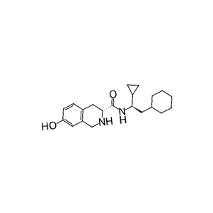 O=C(N[C@H](CC1CCCCC1)C1CC1)[C@H]1Cc2ccc(O)cc2CN1